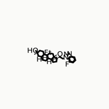 CC[C@]12CC[C@@](C)(O)C[C@@H]1CC[C@H]1[C@@H]3CC[C@H](C(=O)Cn4nnc5cccc(F)c54)[C@@]3(C)CC[C@@H]12